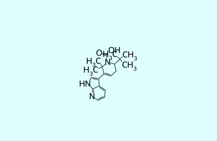 CC(C)(C)C1CC=C(c2c[nH]c3ncccc23)C(C)(C)N1C(=O)O